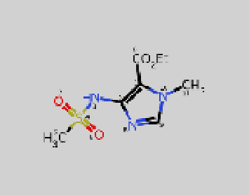 CCOC(=O)c1c(NS(C)(=O)=O)ncn1C